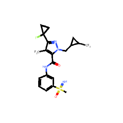 CS(=N)(=O)c1cccc(NC(=O)c2c(C(F)(F)F)c(C3(F)CC3)nn2CC2CC2C(F)(F)F)c1